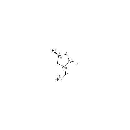 CN1C[C@H](F)C[C@@H]1CO